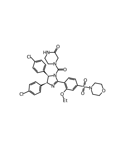 CCOc1cc(S(=O)(=O)N2CCOCC2)ccc1C1=N[C@@H](c2ccc(Cl)cc2)[C@@H](c2ccc(Cl)cc2)N1C(=O)N1CCNC(=O)C1